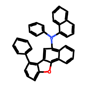 c1ccc(-c2cccc3oc4c5ccccc5c(N(c5ccccc5)c5cccc6ccccc56)cc4c23)cc1